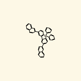 c1ccc([Si]2(c3ccccc3)c3ccc(-c4ccc5ccccc5c4)cc3-c3cc(-c4ccc5ccccc5c4)ccc32)cc1